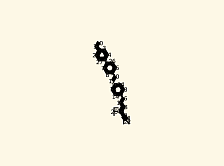 CCc1ccc([C@H]2CC[C@H](CC[C@H]3CC[C@H](CC/C=C(\F)C#N)CC3)CC2)cc1